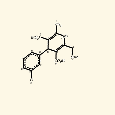 CCOC(=O)C1=C(C)NC(COC(C)=O)=C(C(=O)OCC)C1c1cccc(Cl)c1